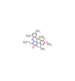 CCCn1c(=Nc2c(C)cc(C)cc2C)cc2n(c1=O)CC(C)c1cc(OC)c(OC)cc1-2